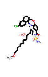 COCCCCCC/C=C/[C@H](O)[C@@H]1CC[C@H]1CN1C[C@@]2(CCCc3cc(Cl)ccc32)COc2ccc(C(=O)NS(N)(=O)=O)cc21